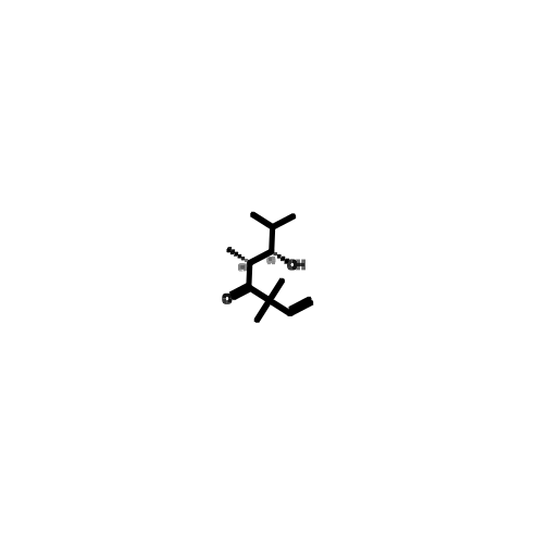 C=CC(C)(C)C(=O)[C@H](C)[C@@H](O)C(C)C